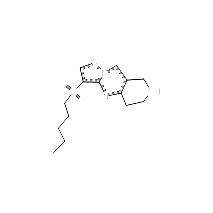 CCCCCS(=O)(=O)c1cnn2cc3c(nc12)CCNC3